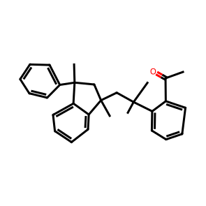 CC(=O)c1ccccc1C(C)(C)CC1(C)CC(C)(c2ccccc2)c2ccccc21